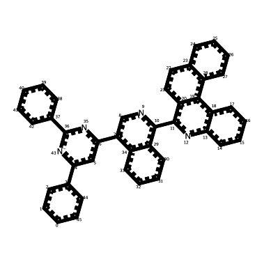 c1ccc(-c2cc(-c3cnc(-c4nc5ccccc5c5c4ccc4ccccc45)c4ccccc34)nc(-c3ccccc3)n2)cc1